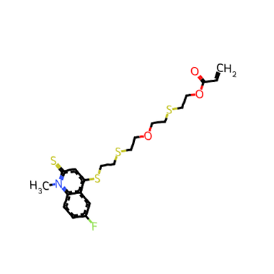 C=CC(=O)OCCSCCOCCSCCSc1cc(=S)n(C)c2ccc(F)cc12